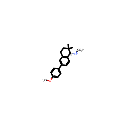 CC1(C)CCc2cc(-c3ccc(OC(F)(F)F)cc3)ccc2[C@H]1NC(=O)O